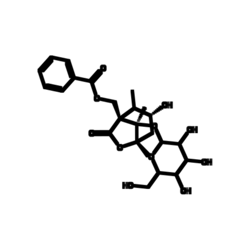 CC1[C@H](O)C[C@]2(C)OC(=O)[C@@]1(COC(=O)c1ccccc1)[C@@]2(C)OC1OC(CO)C(O)C(O)C1O